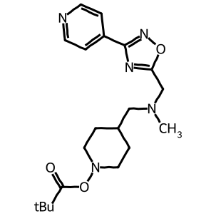 CN(Cc1nc(-c2ccncc2)no1)CC1CCN(OC(=O)C(C)(C)C)CC1